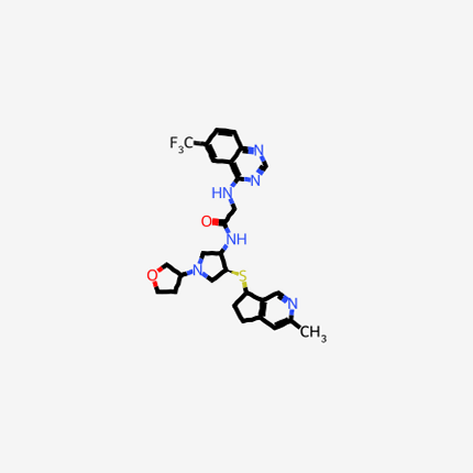 Cc1cc2c(cn1)C(S[C@H]1CN(C3CCOC3)CC1NC(=O)CNc1ncnc3ccc(C(F)(F)F)cc13)CC2